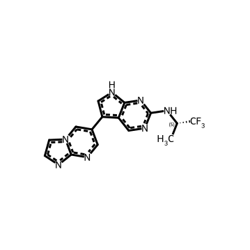 C[C@H](Nc1ncc2c(-c3cnc4nccn4c3)c[nH]c2n1)C(F)(F)F